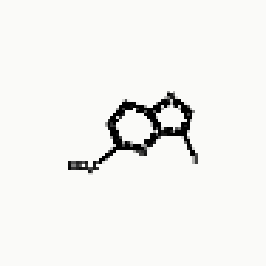 CCOC(=O)c1ccc2ncc(I)n2n1